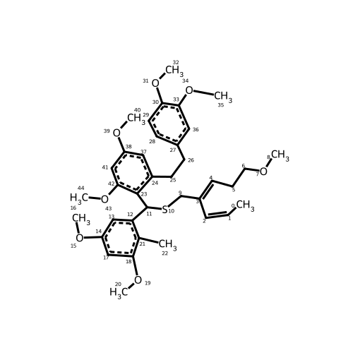 C/C=C\C(=C/CCOC)CSC(c1cc(OC)cc(OC)c1C)c1c(CCc2ccc(OC)c(OC)c2)cc(OC)cc1OC